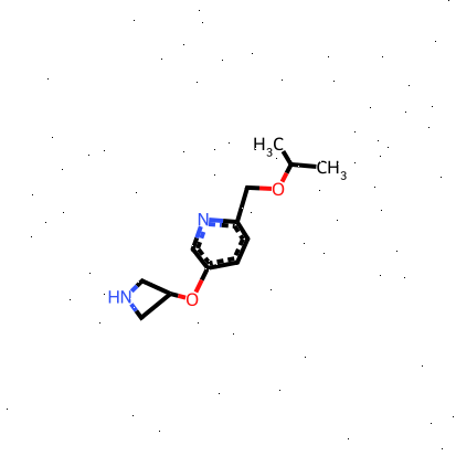 CC(C)OCc1ccc(OC2CNC2)cn1